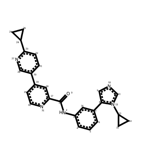 O=C(Nc1cccc(-c2cncn2C2CC2)c1)c1cc(-c2ccc(C3CC3)nc2)ccn1